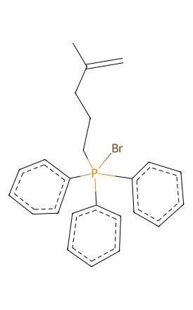 C=C(C)CCCP(Br)(c1ccccc1)(c1ccccc1)c1ccccc1